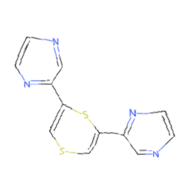 C1=C(c2cnccn2)SC(c2cnccn2)=CS1